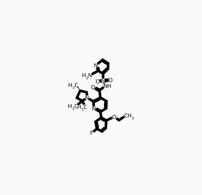 CCOc1ccc(F)cc1-c1ccc(C(=O)NS(=O)(=O)c2cccnc2N)c(N2C[C@@H](C)CC2(C)C)n1